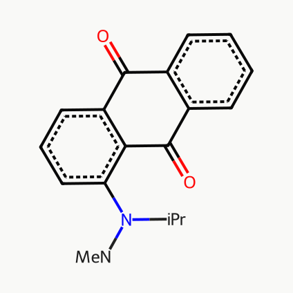 CNN(c1cccc2c1C(=O)c1ccccc1C2=O)C(C)C